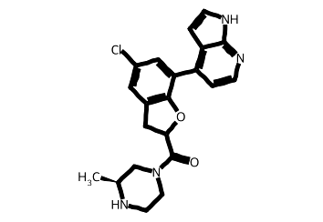 C[C@H]1CN(C(=O)C2Cc3cc(Cl)cc(-c4ccnc5[nH]ccc45)c3O2)CCN1